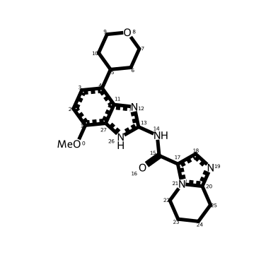 COc1ccc(C2CCOCC2)c2nc(NC(=O)c3cnc4n3CCCC4)[nH]c12